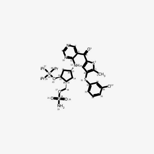 Cc1sc(C(=O)c2cncnc2N[C@@H]2C[C@H](COS(N)(=O)=O)[C@@H](O[Si](C(C)C)(C(C)C)C(C)C)C2)cc1Sc1cccc(Cl)c1